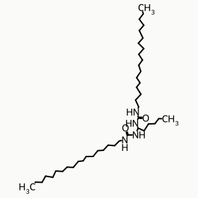 CCCCCCCCCCCCCCCCCCNC(=O)NC(CCCCC)NC(=O)NCCCCCCCCCCCCCCCCCC